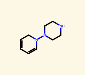 C1=CCN(N2CCNCC2)C=C1